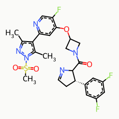 Cc1nn(S(C)(=O)=O)c(C)c1-c1cc(OC2CN(C(=O)C3N=CC[C@H]3c3cc(F)cc(F)c3)C2)c(F)cn1